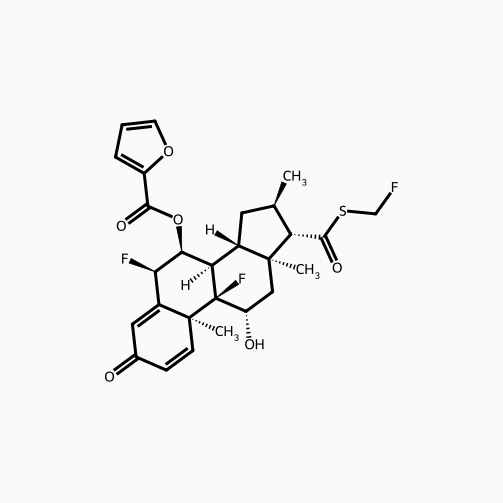 C[C@@H]1C[C@H]2[C@@H]3[C@H](OC(=O)c4ccco4)[C@H](F)C4=CC(=O)C=C[C@]4(C)[C@@]3(F)[C@@H](O)C[C@]2(C)[C@H]1C(=O)SCF